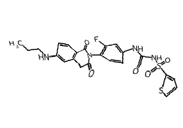 CCCNc1ccc2c(c1)CC(=O)N(c1ccc(NC(=O)NS(=O)(=O)c3cccs3)cc1F)C2=O